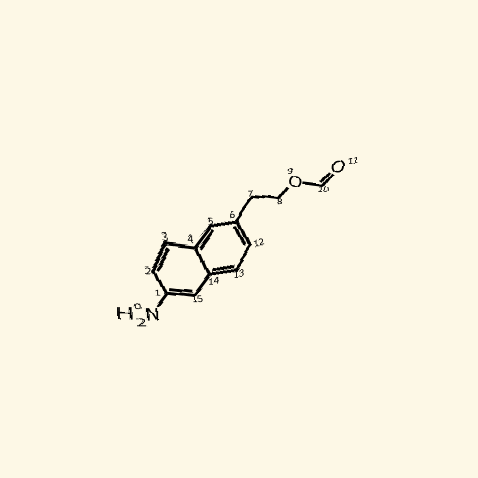 Nc1ccc2cc(CCOC=O)ccc2c1